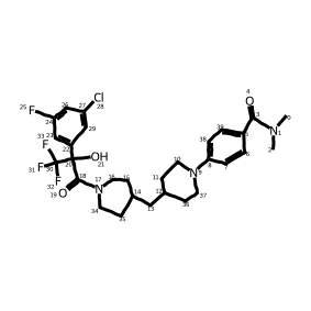 CN(C)C(=O)c1ccc(N2CCC(CC3CCN(C(=O)C(O)(c4cc(F)cc(Cl)c4)C(F)(F)F)CC3)CC2)cc1